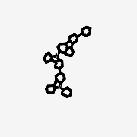 c1ccc(-c2ccc3c(c2)-c2cccc4c(-n5c6ccccc6c6cc(-c7ccc8c(c7)c7ccccc7n8-c7ccccc7)ccc65)ccc-3c24)cc1